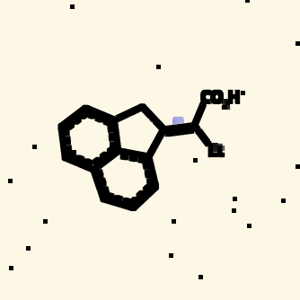 CC/C(C(=O)O)=C1/Cc2cccc3cccc1c23